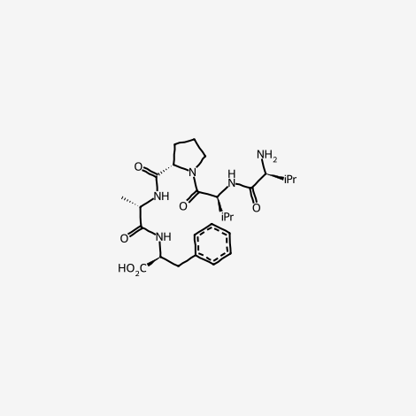 CC(C)[C@H](N)C(=O)N[C@H](C(=O)N1CCC[C@H]1C(=O)N[C@@H](C)C(=O)N[C@@H](Cc1ccccc1)C(=O)O)C(C)C